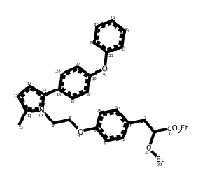 CCOC(=O)C(Cc1ccc(OCCn2c(C)ccc2-c2ccc(Oc3ccccc3)cc2)cc1)OCC